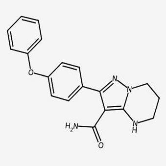 NC(=O)c1c(-c2ccc(Oc3ccccc3)cc2)nn2c1NCCC2